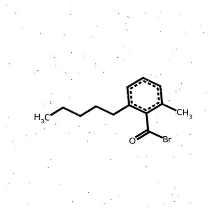 CCCCCc1cccc(C)c1C(=O)Br